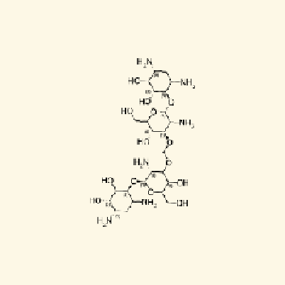 NC1C[C@H](N)[C@H](O)C(O)[C@H]1O[C@@H]1OC(CO)[C@H](O)C(OCO[C@@H]2C(N)[C@@H](O[C@@H]3C(N)C[C@@H](N)C(O)[C@H]3O)OC(CO)[C@H]2O)[C@H]1N